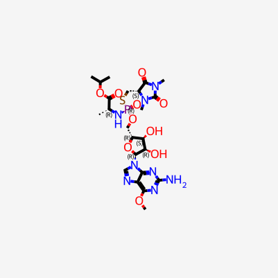 COc1nc(N)nc2c1ncn2[C@@H]1O[C@H](CO[P@](=O)(N[C@H](C)C(=O)OC(C)C)SC[C@@H]2C(=O)N(C)C(=O)N2C)[C@@H](O)[C@H]1O